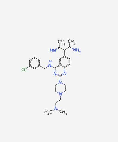 CC(=N)C(c1ccc2nc(N3CCN(CCN(C)C)CC3)nc(NCc3cccc(Cl)c3)c2c1)C(C)N